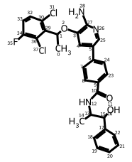 CC(Oc1cc(-c2ccc(C(=O)NC(C)C(O)c3ccccc3)cc2)cnc1N)c1c(Cl)ccc(F)c1Cl